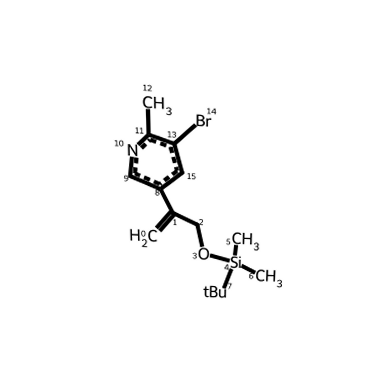 C=C(CO[Si](C)(C)C(C)(C)C)c1cnc(C)c(Br)c1